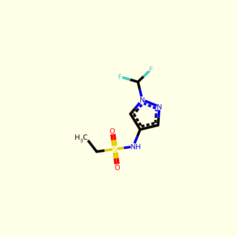 CCS(=O)(=O)Nc1cnn(C(F)F)c1